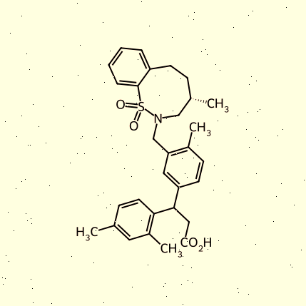 Cc1ccc(C(CC(=O)O)c2ccc(C)c(CN3C[C@@H](C)CCc4ccccc4S3(=O)=O)c2)c(C)c1